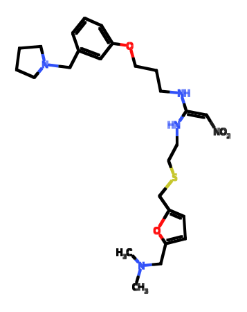 CN(C)Cc1ccc(CSCCNC(=C[N+](=O)[O-])NCCCOc2cccc(CN3CCCC3)c2)o1